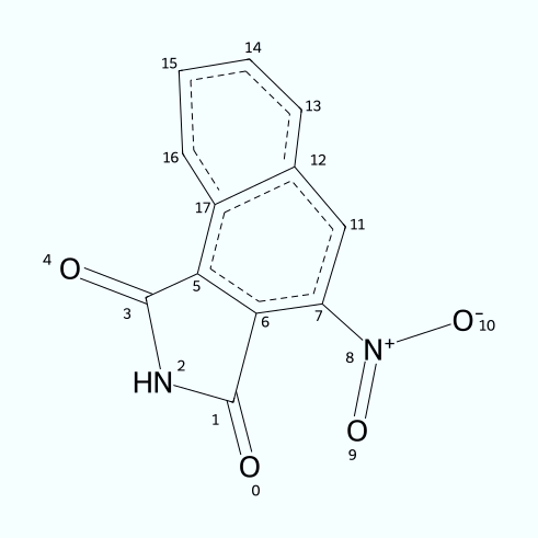 O=C1NC(=O)c2c1c([N+](=O)[O-])cc1ccccc21